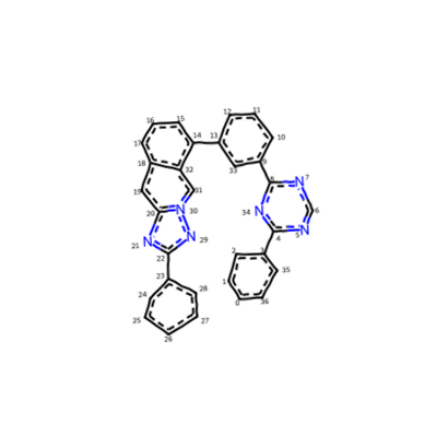 c1ccc(-c2ncnc(-c3cccc(-c4cccc5cc6nc(-c7ccccc7)nn6cc45)c3)n2)cc1